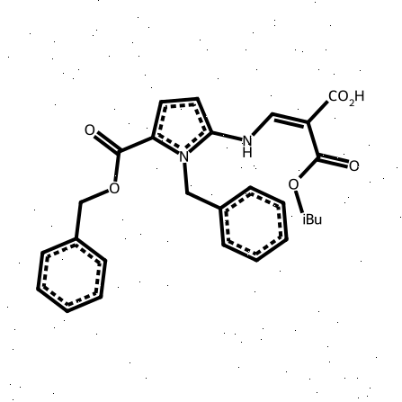 CCC(C)OC(=O)C(=CNc1ccc(C(=O)OCc2ccccc2)n1Cc1ccccc1)C(=O)O